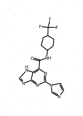 O=C(NC1CCC(C(F)(F)F)CC1)c1nc(-n2ccnc2)nc2nc[nH]c12